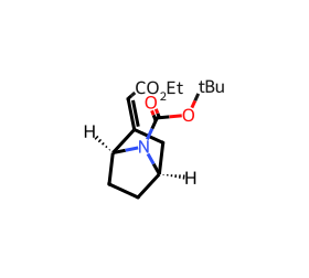 CCOC(=O)C=C1C[C@H]2CC[C@@H]1N2C(=O)OC(C)(C)C